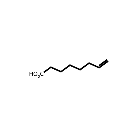 C=CCCCCCC(=O)O